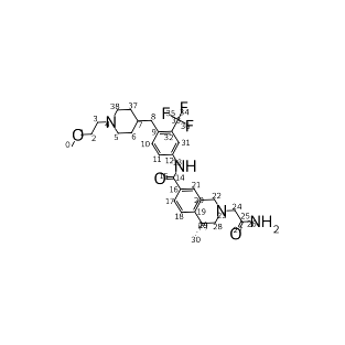 COCCN1CCC(Cc2ccc(NC(=O)c3ccc4c(c3)CN(CC(N)=O)C[C@@H]4C)cc2C(F)(F)F)CC1